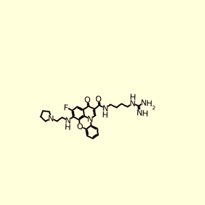 N=C(N)NCCCCNC(=O)c1cn2c3c(c(NCCN4CCCC4)c(F)cc3c1=O)Oc1ccccc1-2